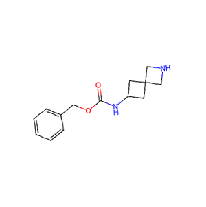 O=C(NC1CC2(CNC2)C1)OCc1ccccc1